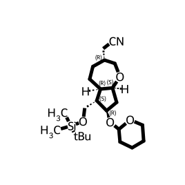 CC(C)(C)[Si](C)(C)OC[C@@H]1[C@H]2CC[C@H](CC#N)CO[C@H]2C[C@H]1OC1CCCCO1